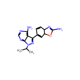 CC(C)n1nc(C2=CC3OC(N)=NC3C=C2)c2c(N)ncnc21